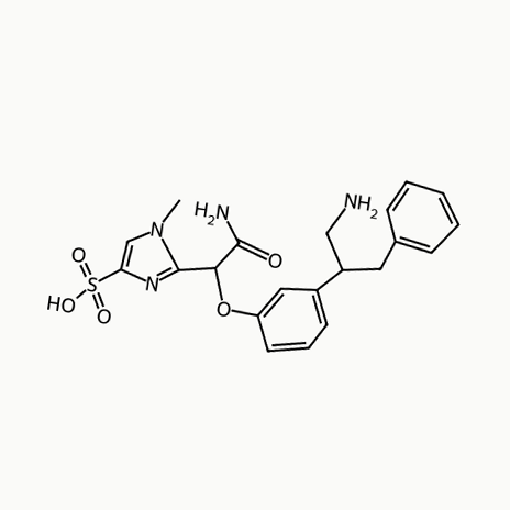 Cn1cc(S(=O)(=O)O)nc1C(Oc1cccc(C(CN)Cc2ccccc2)c1)C(N)=O